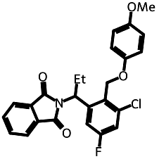 CCC(c1cc(F)cc(Cl)c1COc1ccc(OC)cc1)N1C(=O)c2ccccc2C1=O